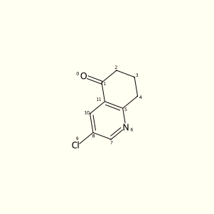 O=C1CCCc2ncc(Cl)cc21